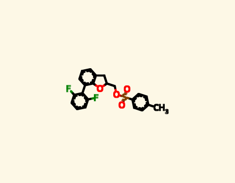 Cc1ccc(S(=O)(=O)OCC2Cc3cccc(-c4c(F)cccc4F)c3O2)cc1